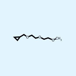 COCCOCCOCC1CC1